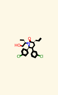 C=CC[C@@H]1CC(c2cccc(Cl)c2)[C@@H](c2ccc(Cl)cc2)N([C@@H](CC)CO)C1=O